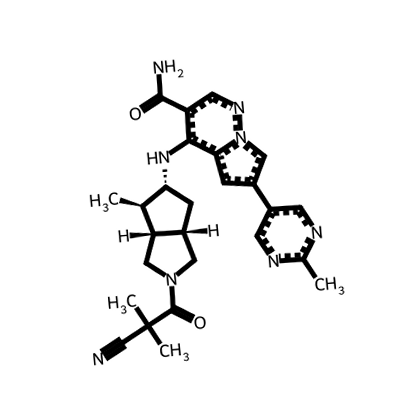 Cc1ncc(-c2cc3c(N[C@@H]4C[C@@H]5CN(C(=O)C(C)(C)C#N)C[C@@H]5[C@H]4C)c(C(N)=O)cnn3c2)cn1